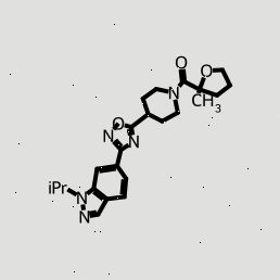 CC(C)n1ncc2ccc(-c3noc(C4CCN(C(=O)C5(C)CCCO5)CC4)n3)cc21